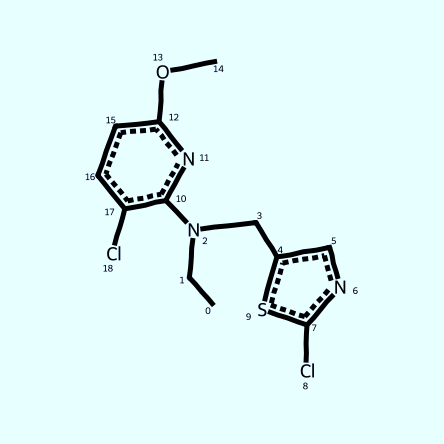 CCN(Cc1cnc(Cl)s1)c1nc(OC)ccc1Cl